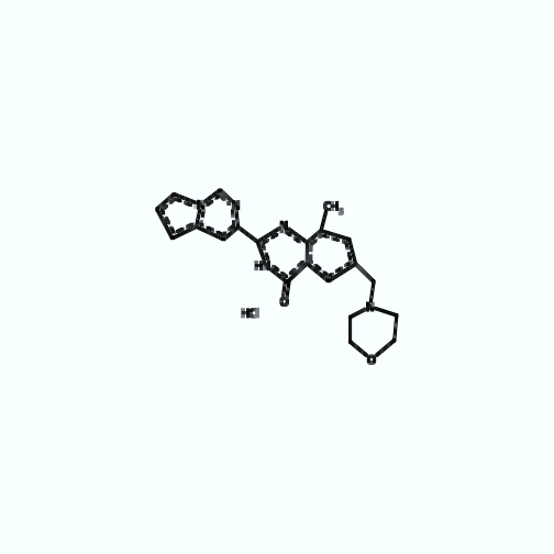 Cc1cc(CN2CCOCC2)cc2c(=O)[nH]c(-c3cc4cccn4cn3)nc12.Cl